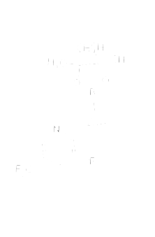 CC1(C)OB(C2C[C@@H]2c2ncc(C(F)(F)F)cc2F)OC1(C)C